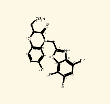 O=C(O)CC1Oc2ccc(Cl)cc2N(Cc2nc3c(F)cc(F)c(F)c3s2)C1=O